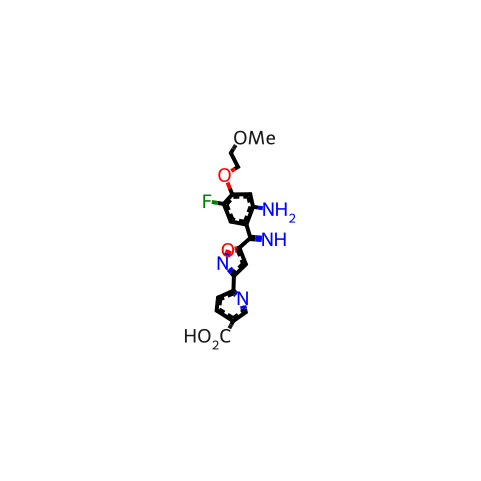 COCCOc1cc(N)c(C(=N)c2cc(-c3ccc(C(=O)O)cn3)no2)cc1F